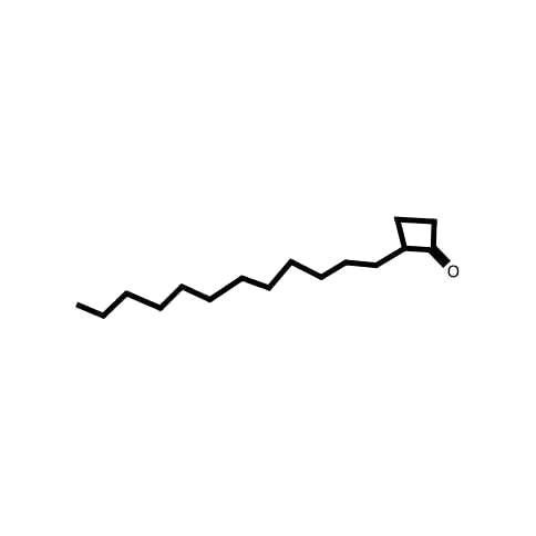 CCCCCCCCCCCCC1CCC1=O